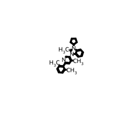 Cc1cc(-c2c(C)cccc2C)ncc1N1c2ccccc2N(C2CCCC2)[C@H]1C